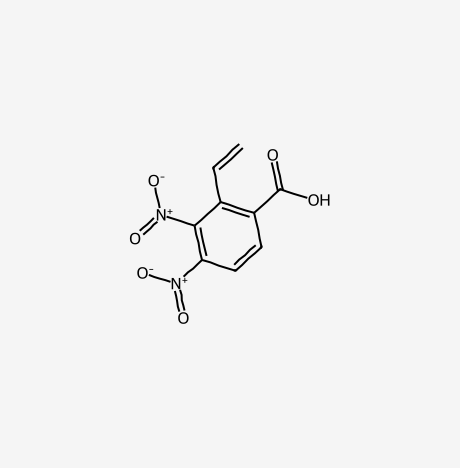 C=Cc1c(C(=O)O)ccc([N+](=O)[O-])c1[N+](=O)[O-]